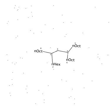 CCCCCCCCC(CCCCCC)CC(CCCCCCCC)CCCCCCCC